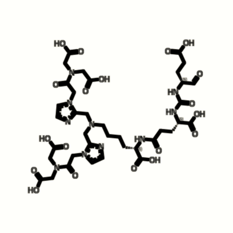 O=C[C@H](CCC(=O)O)NC(=O)N[C@@H](CCC(=O)N[C@@H](CCCCN(Cc1nccn1CC(=O)N(CC(=O)O)CC(=O)O)Cc1nccn1CC(=O)N(CC(=O)O)CC(=O)O)C(=O)O)C(=O)O